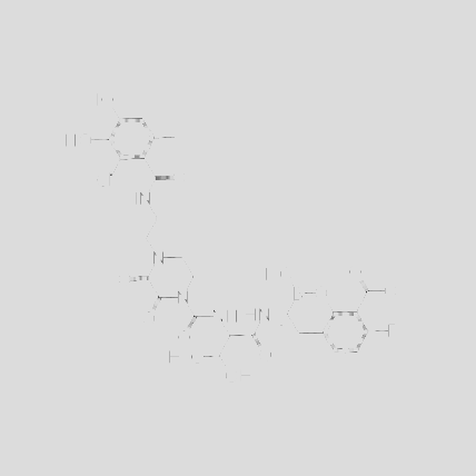 CC(O)C(NC(=O)N1CCN(CCNC(=O)c2c(F)cc(O)c(O)c2Cl)C(=O)C1=O)C(=O)N[C@H]1Cc2ccc(F)c(C(=O)O)c2OB1O